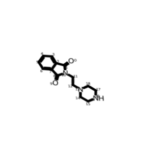 O=C1c2ccccc2C(=O)N1CCN1CCNCC1